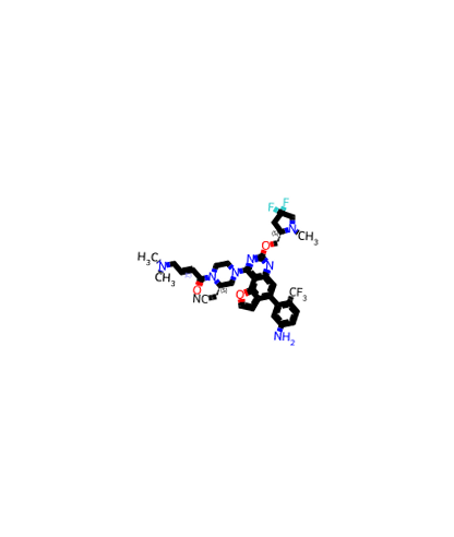 CN(C)C/C=C/C(=O)N1CCN(c2nc(OC[C@@H]3CC(F)(F)CN3C)nc3cc(-c4cc(N)ccc4C(F)(F)F)c4ccoc4c23)C[C@@H]1CC#N